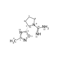 Cc1noc([C@@H]2CCCN2C(=N)N)n1